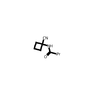 CC(C)C(=O)NC1(C#N)CCC1